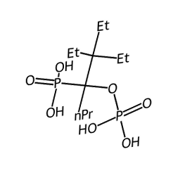 CCCC(OP(=O)(O)O)(C(CC)(CC)CC)P(=O)(O)O